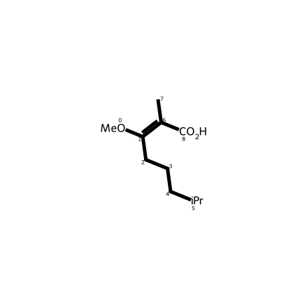 COC(CCCC(C)C)=C(C)C(=O)O